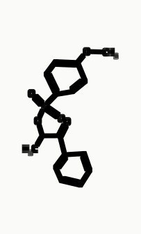 COc1ccc(S(=O)(=O)OC(C)C(=O)c2ccccc2)cc1